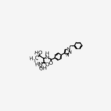 C[C@@H](O)C(NC(=O)c1ccc(-c2cn(Cc3ccccc3)nn2)cc1)C(=O)NO